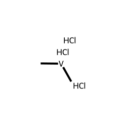 Cl.Cl.Cl.[CH3][V][CH3]